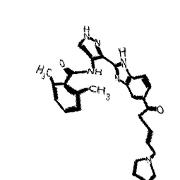 Cc1cccc(C)c1C(=O)Nc1c[nH]nc1-c1nc2cc(C(=O)CCCCN3CCCC3)ccc2[nH]1